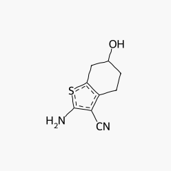 N#Cc1c(N)sc2c1CCC(O)C2